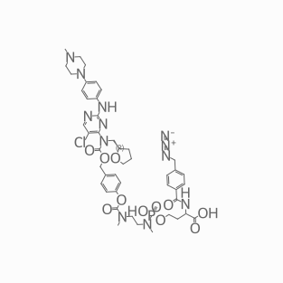 CN1CCN(c2ccc(Nc3ncc(Cl)c(N(C[C@H]4CCCO4)C(=O)OCc4ccc(OC(=O)N(C)CCN(C)P(=O)(O)OCCC(NC(=O)c5ccc(CN=[N+]=[N-])cc5)C(=O)O)cc4)n3)cc2)CC1